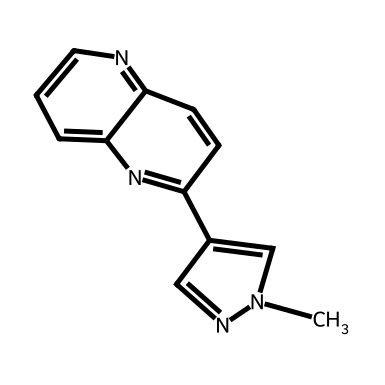 Cn1cc(-c2ccc3ncccc3n2)cn1